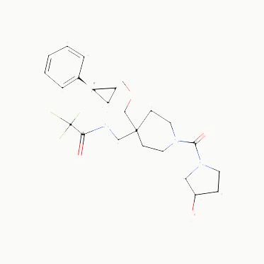 COCC1(CN(C(=O)C(F)(F)F)[C@H]2C[C@@H]2c2ccccc2)CCN(C(=O)N2CCC(O)C2)CC1